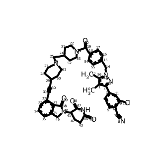 Cc1c(-c2ccc(C#N)c(Cl)c2)nn(Cc2ccc(C(=O)N3CCC(CN4CCC(C#Cc5cccc6c5C(=O)N(C5CCC(=O)NC5=O)C6)CC4)CC3)cc2)c1C